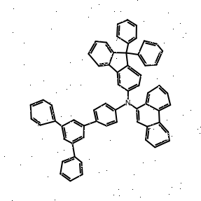 c1ccc(-c2cc(-c3ccccc3)cc(-c3ccc(N(c4ccc5c(c4)-c4ccccc4C5(c4ccccc4)c4ccccc4)c4cc5ccccc5c5ccccc45)cc3)c2)cc1